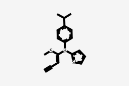 C#C/C=C(\SC)B(c1ccc(C(C)C)cc1)c1cccs1